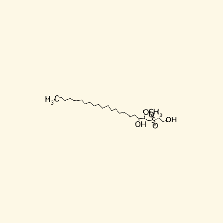 CCCCCCCCCCCCCCCCCCC(O)C(CS(=O)(=O)CCO)OC